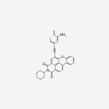 C=C/C(N)=C\C(C#Cc1cc2c(=O)n(C3CCCCC3)c(=O)c3ccc4c5ccccc5sc1c4c32)=C/C